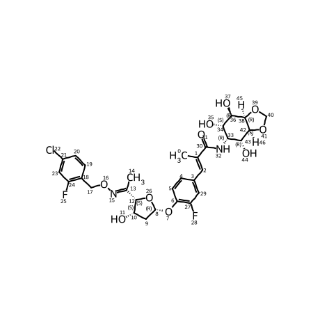 CC(=Cc1ccc(O[C@@H]2C[C@H](O)[C@H](C(C)=NOCc3ccc(Cl)cc3F)O2)c(F)c1)C(=O)N[C@@H]1[C@H](O)[C@@H](O)[C@H]2OCO[C@H]2[C@@H]1O